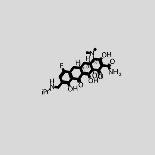 CC(C)NCc1cc(F)c2c(c1O)C(=O)C1=C(O)[C@]3(O)C(=O)C(C(N)=O)=C(O)[C@@H](N(C)C)[C@@H]3C[C@@H]1C2